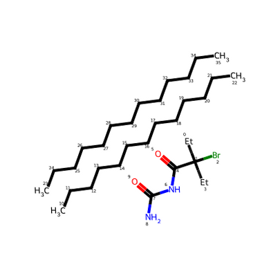 CCC(Br)(CC)C(=O)NC(N)=O.CCCCCCCCCCCCC.CCCCCCCCCCCCC